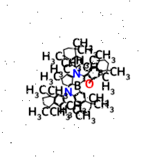 CC1=CC2=C(C(C)C1N1C3=CC(C)CC4=C3B(c3cc5c(cc3N4c3cc4c(cc3C)C(C)(C)CCC4(C)C)C(C)(C)CCC5(C)C)c3oc4cc5c(cc4c31)C(C)(C)CCC5(C)C)C(C)(C)CCC2(C)C